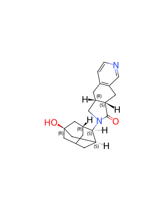 O=C1[C@H]2Cc3cnccc3C[C@H]2CN1[C@@H]1[C@@H]2CC3C[C@H]1C[C@](O)(C3)C2